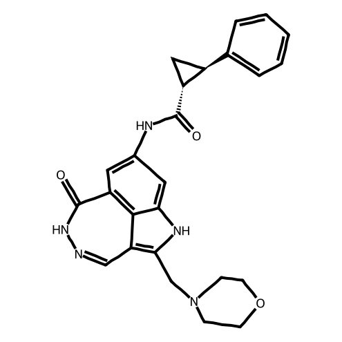 O=C1NN=Cc2c(CN3CCOCC3)[nH]c3cc(NC(=O)[C@@H]4C[C@H]4c4ccccc4)cc1c23